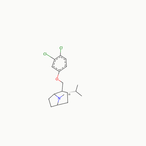 CC(C)[C@@H]1CC2CCC(C1COc1ccc(Cl)c(Cl)c1)N2C